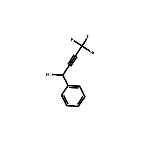 OC(C#CC(F)(F)Br)c1ccccc1